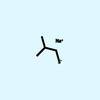 CC(C)C[S-].[Na+]